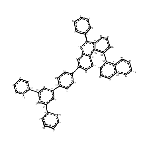 c1ccc(-c2nc3cc(-c4ccc(-c5cc(-c6ccccn6)nc(-c6ccccn6)c5)cc4)ccc3c3c(-c4cccc5ccccc45)cccc23)cc1